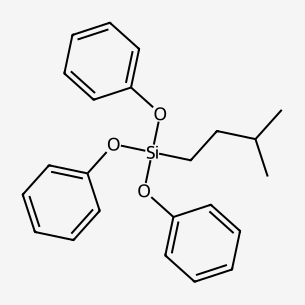 CC(C)CC[Si](Oc1ccccc1)(Oc1ccccc1)Oc1ccccc1